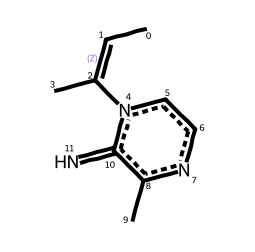 C/C=C(/C)n1ccnc(C)c1=N